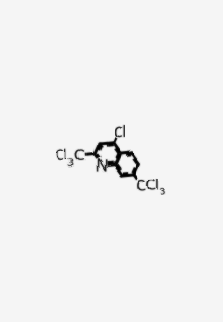 Clc1cc(C(Cl)(Cl)Cl)nc2cc(C(Cl)(Cl)Cl)ccc12